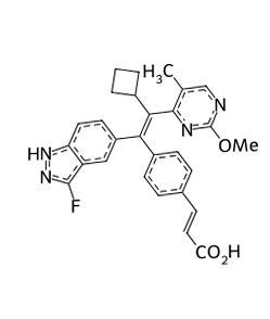 COc1ncc(C)c(/C(=C(\c2ccc(/C=C/C(=O)O)cc2)c2ccc3[nH]nc(F)c3c2)C2CCC2)n1